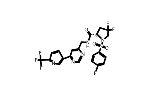 O=C(NCc1cc(-c2ccc(C(F)(F)F)nc2)ncn1)[C@@H]1CC(F)(F)CN1S(=O)(=O)c1ccc(F)cc1